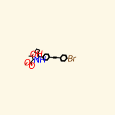 COC(=O)C(NC(=C1CCC1)c1ccc(C#Cc2ccc(Br)cc2)cc1)C(C)O